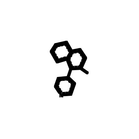 Cc1ccc2ccccc2c1-c1ccncc1